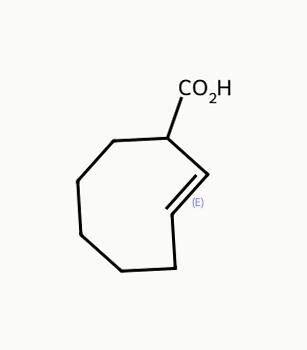 O=C(O)C1/C=C/CCCCC1